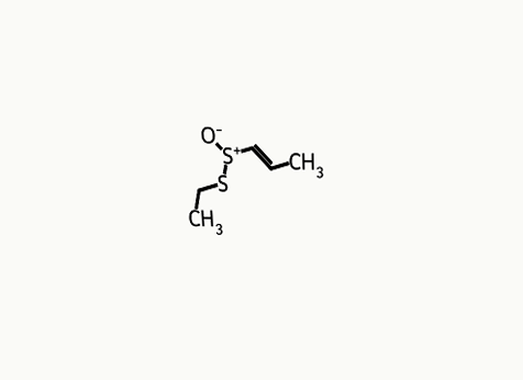 C/C=C/[S+]([O-])SCC